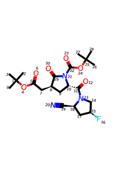 CC(C)(C)OC(=O)C[C@@H]1C[C@@H](C(=O)N2C[C@@H](F)C[C@H]2C#N)N(C(=O)OC(C)(C)C)C1=O